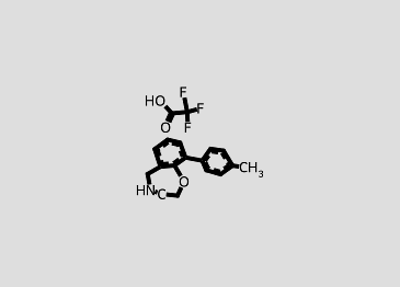 Cc1ccc(-c2cccc3c2OCCNC3)cc1.O=C(O)C(F)(F)F